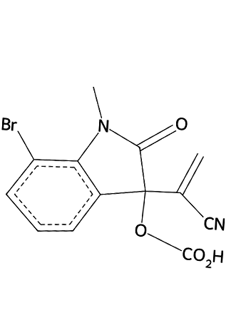 C=C(C#N)C1(OC(=O)O)C(=O)N(C)c2c(Br)cccc21